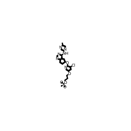 Cc1cnc(Nc2ncnc3ccc(Oc4ncc(OCCCOS(C)(=O)=O)cc4Cl)cc23)cn1